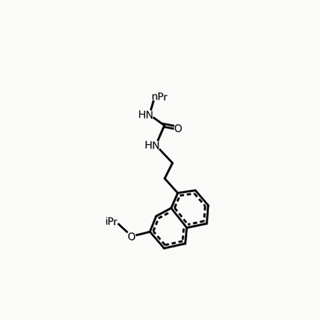 CCCNC(=O)NCCc1cccc2ccc(OC(C)C)cc12